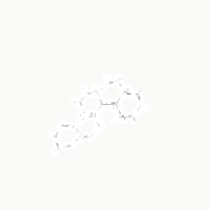 c1ccc2c(c1)cc1c3c2ccc2ccc4cccc-1c4c23